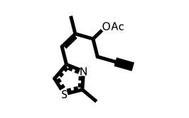 C#CCC(OC(C)=O)C(C)=Cc1csc(C)n1